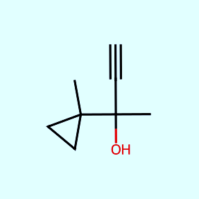 C#CC(C)(O)C1(C)CC1